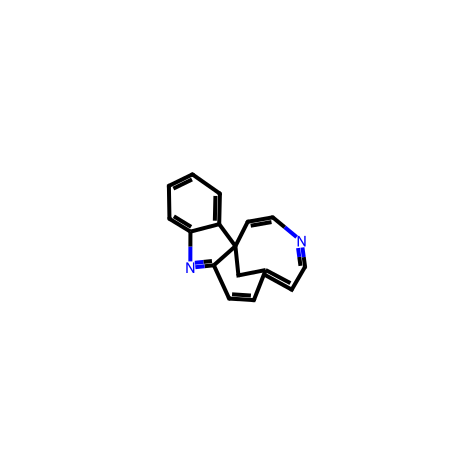 C1=C\C2=C/C=N\C=C/C3(C2)C1=Nc1ccccc13